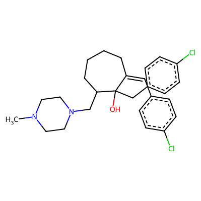 CN1CCN(CC2CCCCC(=Cc3ccc(Cl)cc3)C2(O)Cc2ccc(Cl)cc2)CC1